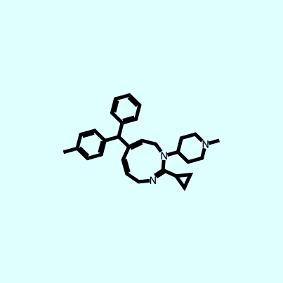 Cc1ccc(C(C2=C/CN(C3CCN(C)CC3)/C(C3CC3)=N\C/C=C\2)c2ccccc2)cc1